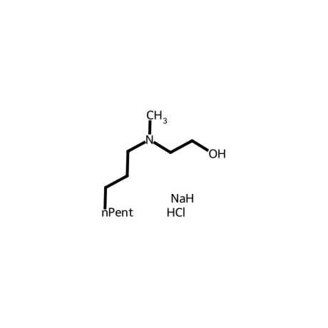 CCCCCCCCN(C)CCO.Cl.[NaH]